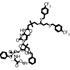 CC(C)OC(=O)[C@H](C)NP(=O)(OC[C@H]1O[C@@H](n2cc(F)c(NC(=O)CC(C)(C)CC[C@H](CCSCc3ccc(C(F)(F)F)cc3)SCc3ccc(C(F)(F)F)cc3)nc2=O)C(C)(COCc2ccccc2)C1O)Oc1ccccc1